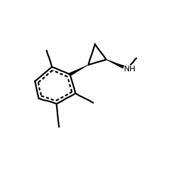 CN[C@@H]1C[C@@H]1c1c(C)ccc(C)c1C